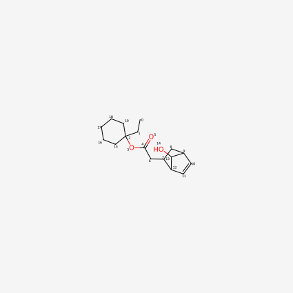 CCC1(OC(=O)CC2CC3C=CC2C3O)CCCCC1